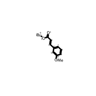 CCC(C)OC(=O)C=Cc1cccc(OC)c1